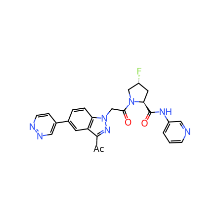 CC(=O)c1nn(CC(=O)N2C[C@H](F)C[C@H]2C(=O)Nc2cccnc2)c2ccc(-c3ccnnc3)cc12